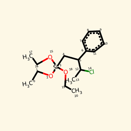 CCO[Si](CC(c1ccccc1)C(C)Cl)(OCC)OCC